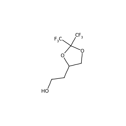 OCCC1COC(C(F)(F)F)(C(F)(F)F)O1